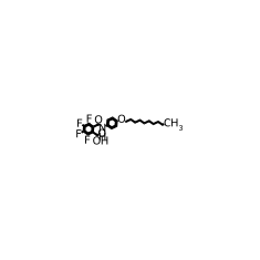 CCCCCCCCCCOc1ccc(NC(=O)c2c(F)c(F)c(F)c(F)c2C(=O)O)cc1